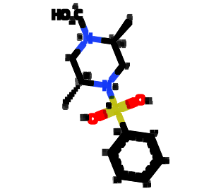 C[C@@H]1CN(C(=O)O)[C@@H](C)CN1S(=O)(=O)c1ccccc1